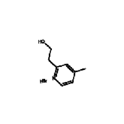 Br.Cc1ccnc(CCO)c1